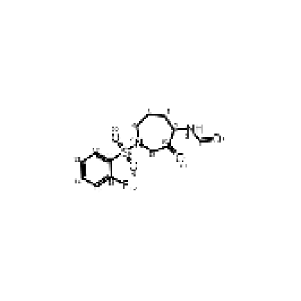 O=CNC1CCCN(S(=O)(=O)c2ccccc2F)CC1=O